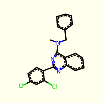 CN(Cc1ccccc1)c1nc(-c2ccc(Cl)cc2Cl)nc2ccccc12